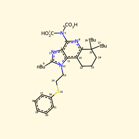 CCCCc1nc2c(N(C(=O)O)C(=O)O)nc3c(c2n1CCSc1ccccc1)CCCC3(C(C)(C)C)C(C)(C)C